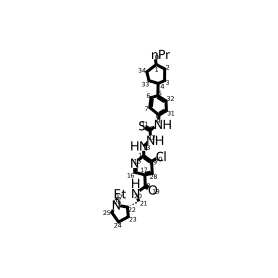 CCCC1CCC(c2ccc(NC(=S)NNc3ncc(C(=O)NC[C@@H]4CCCN4CC)cc3Cl)cc2)CC1